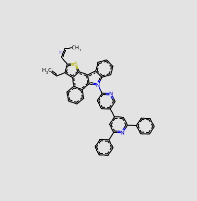 C=Cc1c(/C=C\C)sc2c1c1ccccc1c1c2c2ccccc2n1-c1ccc(-c2cc(-c3ccccc3)nc(-c3ccccc3)c2)cn1